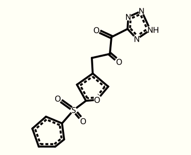 O=C(Cc1coc(S(=O)(=O)c2ccccc2)c1)C(=O)c1nn[nH]n1